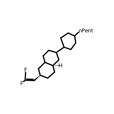 CCCCCC1CCC(C2CCC3C[C@H](C=C(F)F)CC[C@@H]3C2)CC1